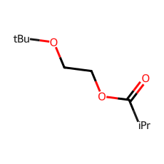 CC(C)C(=O)OCCOC(C)(C)C